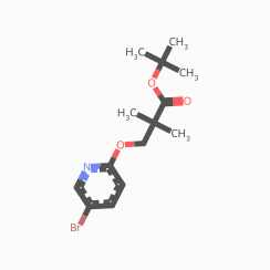 CC(C)(C)OC(=O)C(C)(C)COc1ccc(Br)cn1